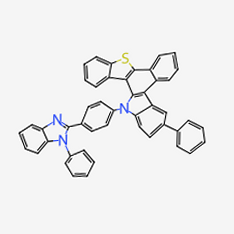 c1ccc(-c2ccc3c(c2)c2c4ccccc4c4sc5ccccc5c4c2n3-c2ccc(-c3nc4ccccc4n3-c3ccccc3)cc2)cc1